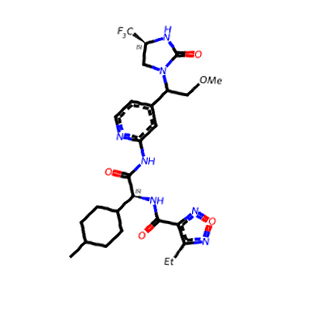 CCc1nonc1C(=O)N[C@H](C(=O)Nc1cc(C(COC)N2C[C@@H](C(F)(F)F)NC2=O)ccn1)C1CCC(C)CC1